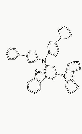 C1=CCC(c2ccc(N(c3ccc(-c4ccccc4)cc3)c3cc(-n4c5ccccc5c5ccccc54)cc4c3sc3ccccc34)cc2)C=C1